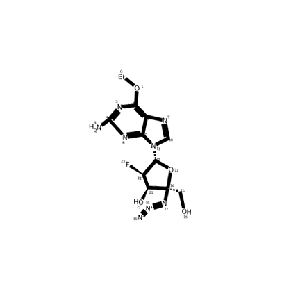 CCOc1nc(N)nc2c1ncn2[C@@H]1O[C@@](CO)(N=[N+]=[N-])[C@@H](O)[C@H]1F